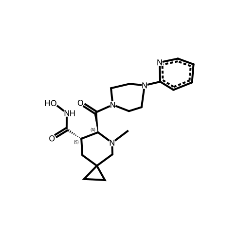 CN1CC2(CC2)C[C@H](C(=O)NO)[C@H]1C(=O)N1CCN(c2ccccn2)CC1